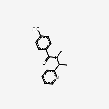 CC(c1ccccn1)N(C)C(=O)c1ccc(C(F)(F)F)cc1